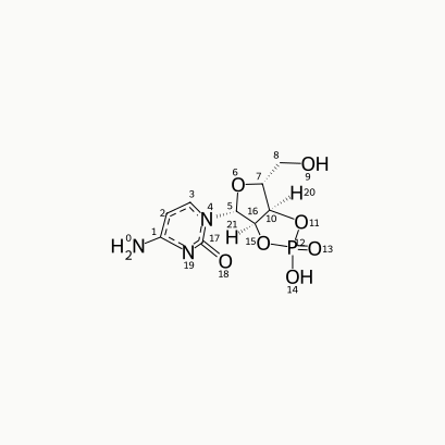 Nc1ccn([C@@H]2O[C@H](CO)[C@H]3OP(=O)(O)O[C@H]32)c(=O)n1